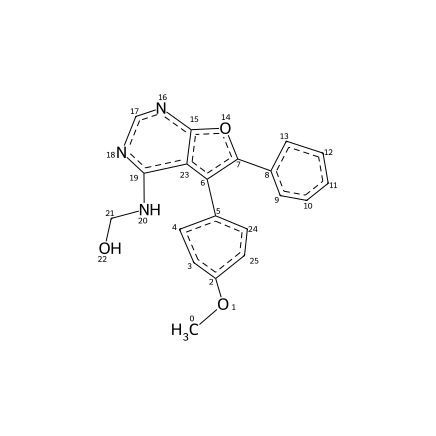 COc1ccc(-c2c(-c3ccccc3)oc3ncnc(NCO)c23)cc1